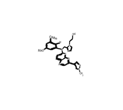 COc1cc(OC)c(F)c(N(Cc2nccn2CCO)c2ccc3ncc(-c4cnn(C)c4)nc3n2)c1